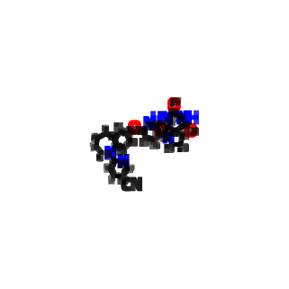 N#Cc1ccc(N2CCCCc3cc(Oc4ccc(N5CCCC56C(=O)NC(=O)NC6=O)cn4)ccc32)nc1